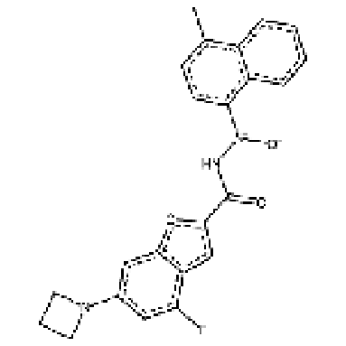 Cc1ccc([S+]([O-])NC(=O)c2cc3c(F)cc(N4CCC4)cc3o2)c2ccccc12